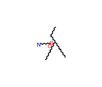 CCCCCC=CCCCC(CCC/C=C\CCCCC)C(CCCC=CCCCCC)OC(=O)CCCCCN(C)C